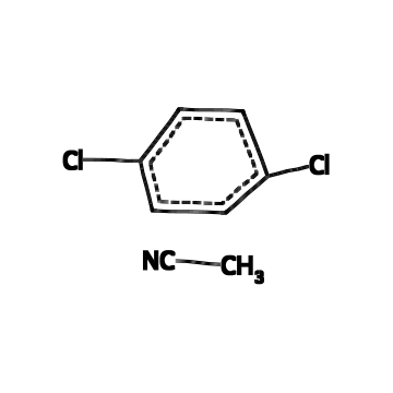 CC#N.Clc1ccc(Cl)cc1